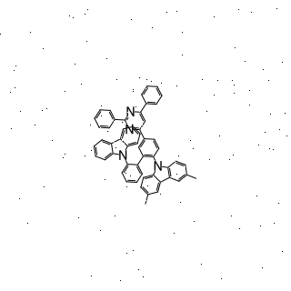 Cc1ccc2c(c1)c1cc(C)ccc1n2-c1ccc(-c2cc(-c3ccccc3)nc(-c3ccccc3)n2)cc1-c1ccccc1-n1c2ccccc2c2ccccc21